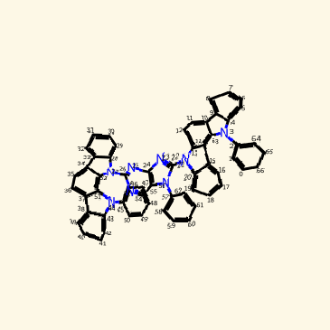 C1=CC(n2c3ccccc3c3ccc4c(c5ccccc5n4-c4nc5nc(-n6c7ccccc7c7ccc8c9ccccc9n(-c9ccccc9)c8c76)ncc5n4-c4ccccc4)c32)=CCC1